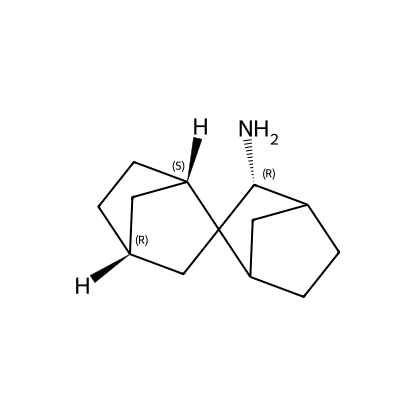 N[C@@H]1C2CCC(C2)C12C[C@@H]1CC[C@H]2C1